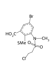 CSc1c(C(=O)O)cc(Br)cc1N(C)S(=O)(=O)CCCl